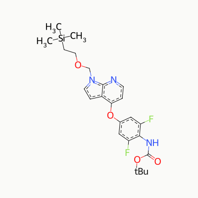 CC(C)(C)OC(=O)Nc1c(F)cc(Oc2ccnc3c2ccn3COCC[Si](C)(C)C)cc1F